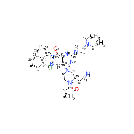 C=CC(=O)N1CCN(c2nc(N3CC(N(CC)CC)C3)nc3c(=O)n(-c4cccc5cccc(Cl)c45)ncc23)CC1CC#N